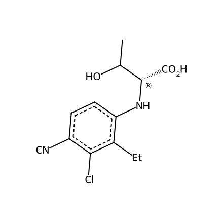 [C-]#[N+]c1ccc(N[C@@H](C(=O)O)C(C)O)c(CC)c1Cl